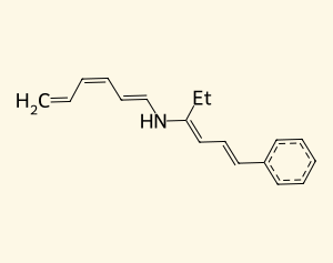 C=C/C=C\C=C\N/C(=C/C=C/c1ccccc1)CC